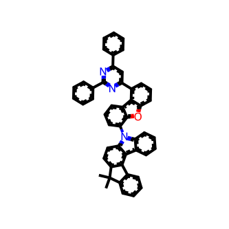 CC1(C)c2ccccc2-c2c1ccc1c2c2ccccc2n1-c1cccc2c1oc1cccc(-c3cc(-c4ccccc4)nc(-c4ccccc4)n3)c12